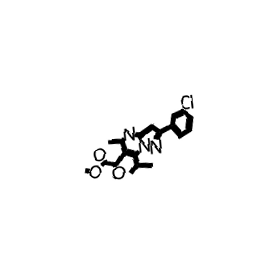 COC(=O)C(=O)c1c(C)nc2cc(-c3cccc(Cl)c3)nn2c1C(C)C